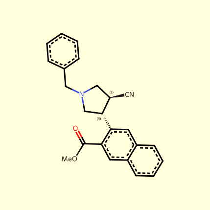 COC(=O)c1cc2ccccc2cc1[C@@H]1CN(Cc2ccccc2)C[C@H]1C#N